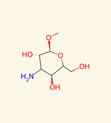 CO[C@H]1OC(CO)[C@@H](O)C(N)[C@@H]1O